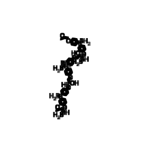 BBB(Oc1ccc(B(B)c2ccc(OCC3CO3)cc2)cc1)C(O)COc1ccc(B(B(B)B)c2ccc(OCC(O)BOc3ccc(B(B)c4ccc(OB(BB)C5CO5)cc4)cc3)cc2)cc1